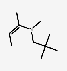 C/C=C(/C)N(C)CC(C)(C)C